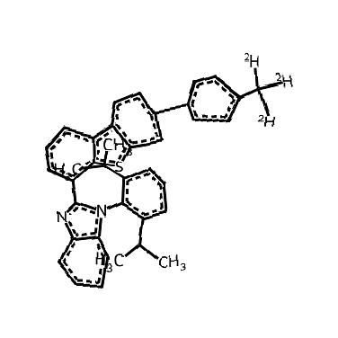 [2H]C([2H])([2H])c1ccc(-c2ccc3c(c2)sc2c(-c4nc5ccccc5n4-c4c(C(C)C)cccc4C(C)C)cccc23)cc1